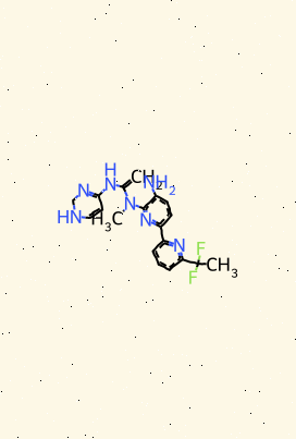 C=C(NC1=NCNC=C1)N(C)c1nc(-c2cccc(C(C)(F)F)n2)ccc1N